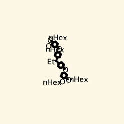 CCCCCCOc1ccc(Oc2ccc(C(CC)c3ccc(Oc4ccc(OCCCCCC)c(OCCCCCC)c4)cc3)cc2)cc1OCCCCCC